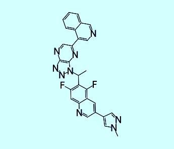 CC(c1c(F)cc2ncc(-c3cnn(C)c3)cc2c1F)n1nnc2ncc(-c3cncc4ccccc34)nc21